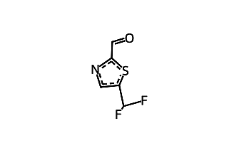 O=Cc1ncc(C(F)F)s1